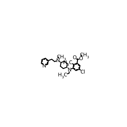 CCN(c1cc(Cl)cc(C(=O)OC)c1C)[C@H]1CC[C@H](N(C)CCc2cccnc2)CC1